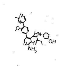 CCc1nc2c(N)ncc(-c3ccc(-c4ccnc(C)n4)c(OC)c3)c2cc1N[C@@H]1CC[C@H](O)C1